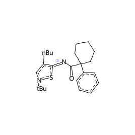 CCCCc1cn(C(C)(C)C)s/c1=N\C(=O)C1(c2ccccc2)CCCCC1